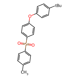 Cc1ccc(S(=O)(=O)c2ccc(Oc3ccc(C(C)(C)C)cc3)cc2)cc1